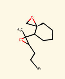 CC(C)CCC1OC1(C)C1CCCC[C@]12CO2